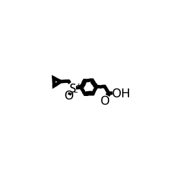 O=C(O)Cc1ccc([S+]([O-])CC2CC2)cc1